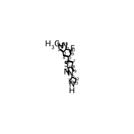 Cn1cc2cc(-c3cc4cn(C5CCNC5)nc4s3)cc(F)c2n1